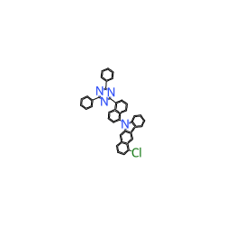 Clc1cccc2cc3c(cc12)c1ccccc1n3-c1cccc2c(-c3nc(-c4ccccc4)nc(-c4ccccc4)n3)cccc12